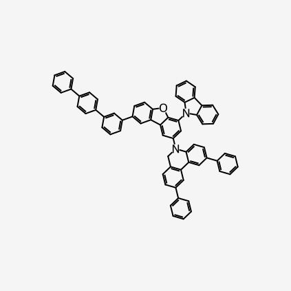 c1ccc(-c2ccc(-c3cccc(-c4ccc5oc6c(-n7c8ccccc8c8ccccc87)cc(N7Cc8ccc(-c9ccccc9)cc8-c8cc(-c9ccccc9)ccc87)cc6c5c4)c3)cc2)cc1